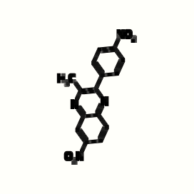 Cc1nc2cc([N+](=O)[O-])ccc2nc1-c1ccc([N+](=O)[O-])cc1